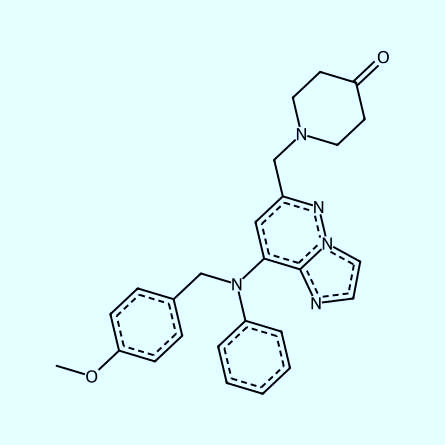 COc1ccc(CN(c2ccccc2)c2cc(CN3CCC(=O)CC3)nn3ccnc23)cc1